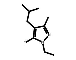 CCn1nc(C)c(CC(C)C)c1F